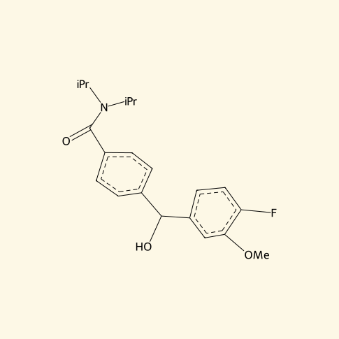 COc1cc(C(O)c2ccc(C(=O)N(C(C)C)C(C)C)cc2)ccc1F